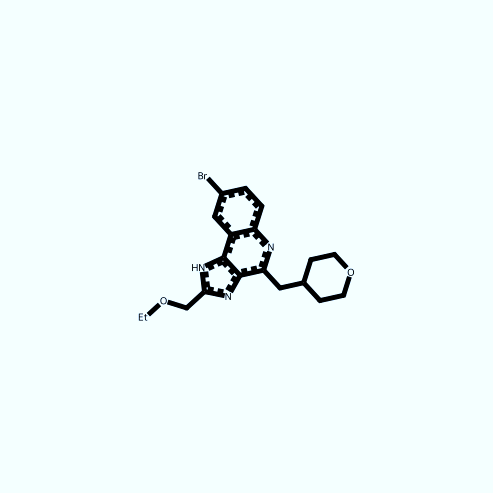 CCOCc1nc2c(CC3CCOCC3)nc3ccc(Br)cc3c2[nH]1